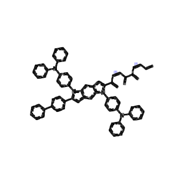 C=C/C=C\C(=C)C(=C)/C=C\C(=C)c1cc2cc3c(cc(-c4ccc(-c5ccccc5)cc4)n3-c3ccc(N(c4ccccc4)c4ccccc4)cc3)cc2n1-c1ccc(N(c2ccccc2)c2ccccc2)cc1